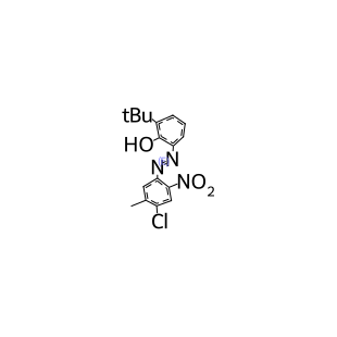 Cc1cc(/N=N/c2cccc(C(C)(C)C)c2O)c([N+](=O)[O-])cc1Cl